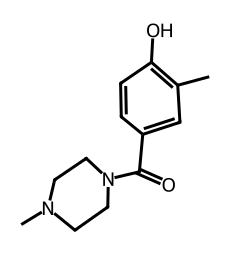 Cc1cc(C(=O)N2CCN(C)CC2)ccc1O